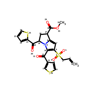 C=CCS(=O)(=O)c1cc2n(c1C(=O)c1ccsc1)C(C(=O)c1cccs1)CC2C(=O)OC